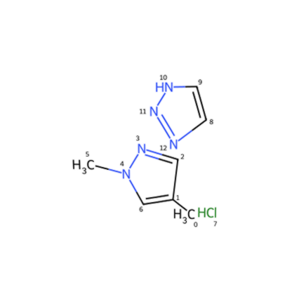 Cc1cnn(C)c1.Cl.c1c[nH]nn1